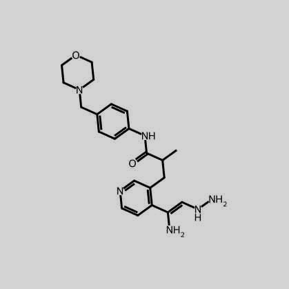 CC(Cc1cnccc1/C(N)=C/NN)C(=O)Nc1ccc(CN2CCOCC2)cc1